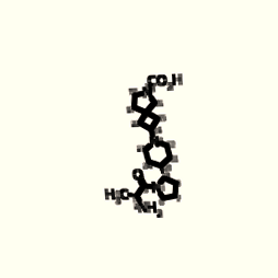 C[C@H](N)C(=O)N1CCC[C@H]1C1CCN(C2CC3(CCN(C(=O)O)C3)C2)CC1